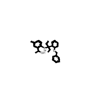 CCC(CC)(Pc1ccc(C)cc1C(C)O)c1ccccc1OCc1ccccc1